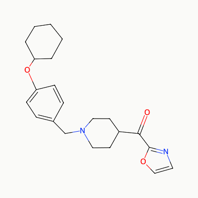 O=C(c1ncco1)C1CCN(Cc2ccc(OC3CCCCC3)cc2)CC1